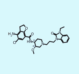 CCn1c(=O)n(CCCN2CC[C@H](NC(=O)c3cc(Cl)c(N)c4c3OCC4)[C@H](OC)C2)c2ccccc21